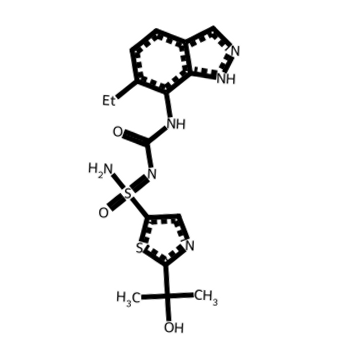 CCc1ccc2cn[nH]c2c1NC(=O)N=S(N)(=O)c1cnc(C(C)(C)O)s1